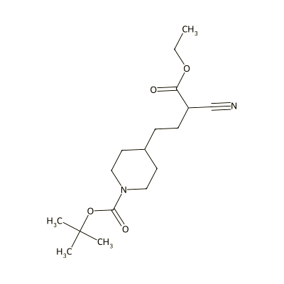 CCOC(=O)C(C#N)CCC1CCN(C(=O)OC(C)(C)C)CC1